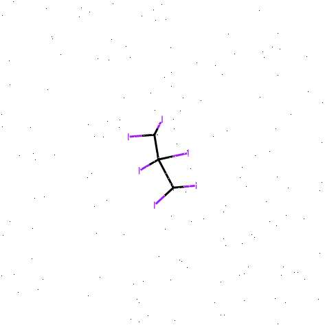 I[C](I)C(I)(I)[C](I)I